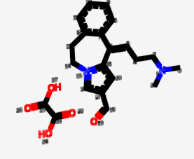 CN(C)CCC=C1c2ccccc2CCn2cc(C=O)cc21.O=C(O)C(=O)O